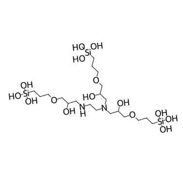 OC(CNCCN(CC(O)COCCC[Si](O)(O)O)CC(O)COCCC[Si](O)(O)O)COCCC[Si](O)(O)O